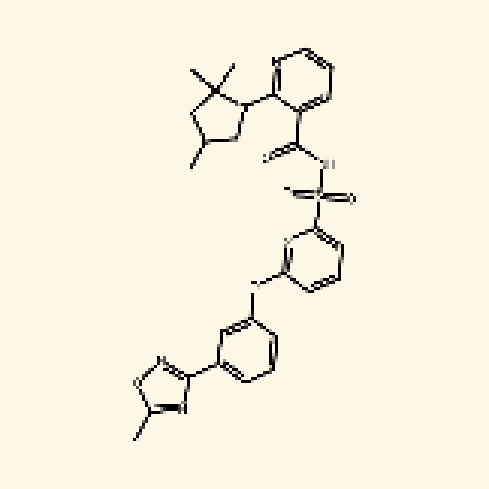 Cc1nc(-c2cccc(Oc3cccc(S(=O)(=O)NC(=O)c4cccnc4N4CC(C)CC4(C)C)n3)c2)no1